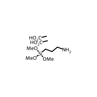 CC(=O)O.CC(=O)O.CO[Si](CCCN)(OC)OC